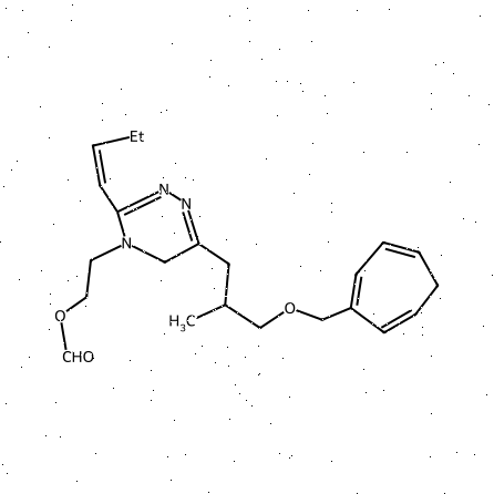 CC/C=C\C1=NN=C(CC(C)COCC2=CC=CCC=C2)CN1CCOC=O